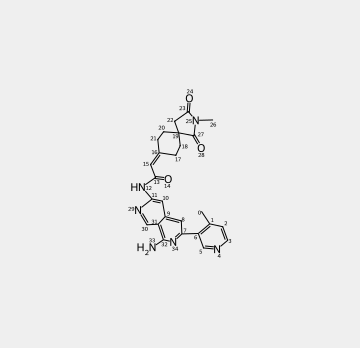 Cc1ccncc1-c1cc2cc(NC(=O)C=C3CCC4(CC3)CC(=O)N(C)C4=O)ncc2c(N)n1